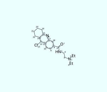 CCN(CC)CCNC(=O)c1ccc2c(Cl)c3c(nc2c1)CCCC3